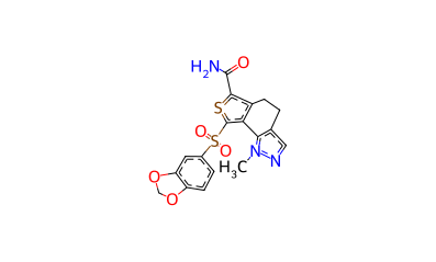 Cn1ncc2c1-c1c(S(=O)(=O)c3ccc4c(c3)OCO4)sc(C(N)=O)c1CC2